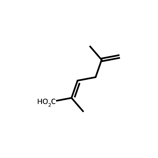 C=C(C)CC=C(C)C(=O)O